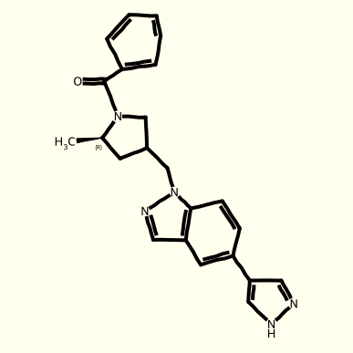 C[C@@H]1CC(Cn2ncc3cc(-c4cn[nH]c4)ccc32)CN1C(=O)c1ccccc1